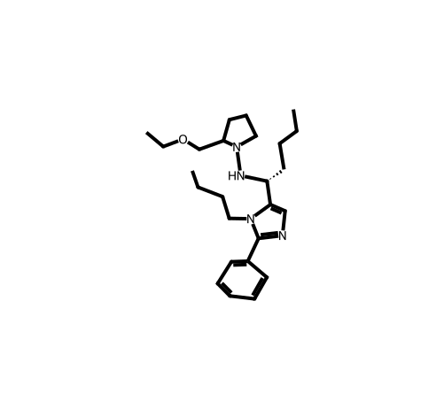 CCCC[C@@H](NN1CCCC1COCC)c1cnc(-c2ccccc2)n1CCCC